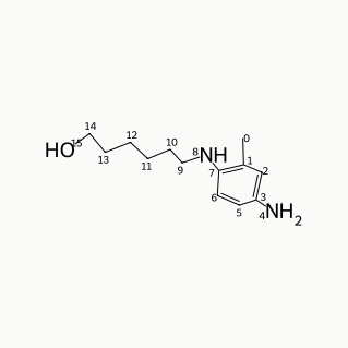 Cc1cc(N)ccc1NCCCCCCO